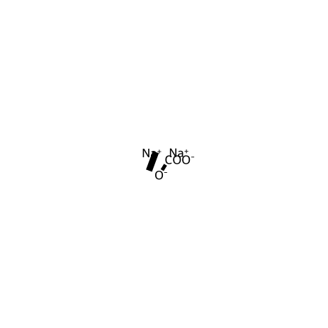 C=C.O=C([O-])[O-].[Na+].[Na+]